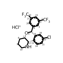 Cl.FC(F)(F)c1cc(CO[C@H]2CCCN[C@H]2c2ccc(Cl)cc2)cc(C(F)(F)F)c1